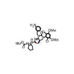 C=C(/N=C1\C(=C/C)CN(c2c(Cl)c(OC)cc(OC)c2Cl)C(=O)N1Cc1cccc(N)c1)NC1CCCCC1NC(=O)OC(C)(C)C